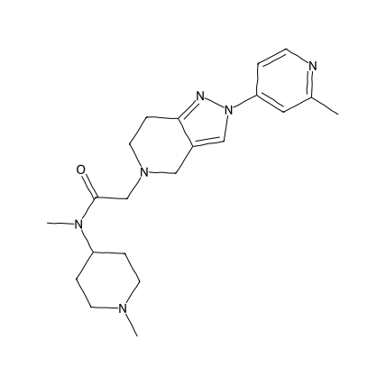 Cc1cc(-n2cc3c(n2)CCN(CC(=O)N(C)C2CCN(C)CC2)C3)ccn1